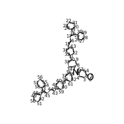 COc1ccc(N(c2ccc(-c3ccc(C=CC=C(c4ccccc4)c4ccccc4)cc3)cc2)c2ccc(-c3ccc(C=CC=C(c4ccccc4)c4ccccc4)cc3)cc2)cc1